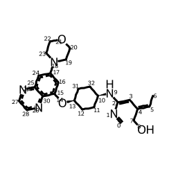 C=N/C(=C\C(=C/C)CO)N[C@H]1CC[C@@H](Oc2cc(N3CCOCC3)cc3nccnc23)CC1